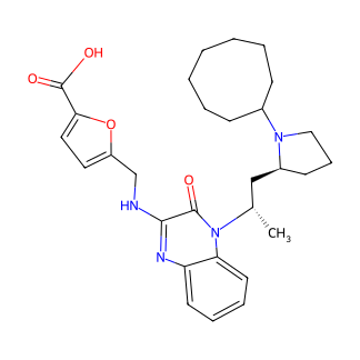 C[C@@H](C[C@@H]1CCCN1C1CCCCCCC1)n1c(=O)c(NCc2ccc(C(=O)O)o2)nc2ccccc21